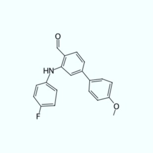 COc1ccc(-c2ccc(C=O)c(Nc3ccc(F)cc3)c2)cc1